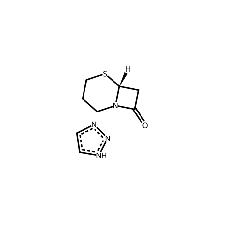 O=C1C[C@H]2SCCCN12.c1c[nH]nn1